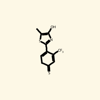 Cc1sc(C2=CCC(=S)C=C2C(F)(F)F)nc1O